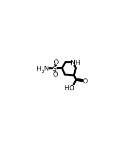 NS(=O)(=O)C1CNCC(C(=O)O)C1